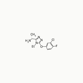 CCn1c(Oc2ccc(F)c(Cl)c2)nnc1[C@@H](C)N